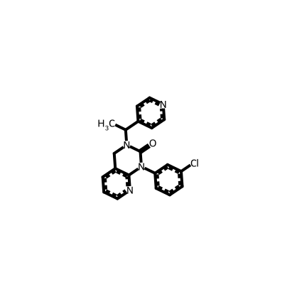 CC(c1ccncc1)N1Cc2cccnc2N(c2cccc(Cl)c2)C1=O